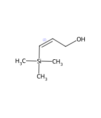 C[Si](C)(C)/C=C\CO